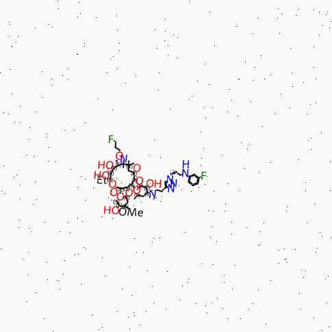 CC[C@H]1OC(=O)[C@H](C)[C@@H](O[C@H]2C[C@@](C)(OC)[C@@H](O)[C@H](C)O2)[C@H](C)[C@@H](O[C@@H]2O[C@H](C)C[C@H](N(C)CCc3cn(/C=C\CNc4cccc(F)c4)nn3)[C@H]2O)[C@@]2(C)C[C@@H](CO2)/C(=N/OCCCF)[C@H](C)[C@@H](O)[C@]1(C)O